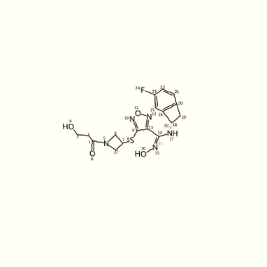 O=C(CCO)N1CC(Sc2nonc2/C(=N\O)N[C@H]2Cc3ccc(F)cc32)C1